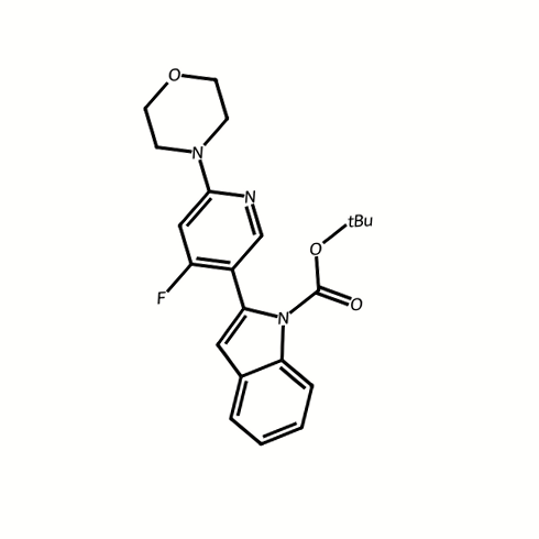 CC(C)(C)OC(=O)n1c(-c2cnc(N3CCOCC3)cc2F)cc2ccccc21